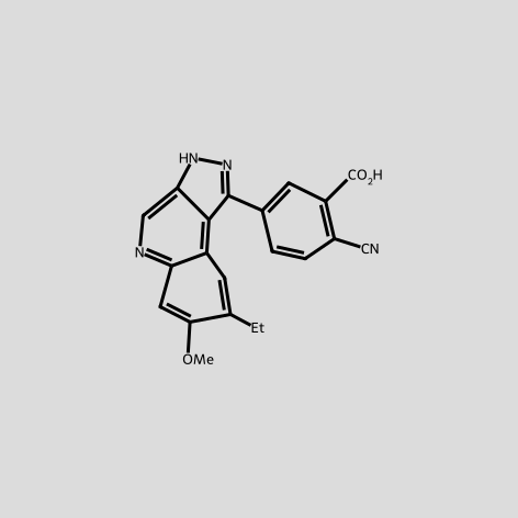 CCc1cc2c(cc1OC)ncc1[nH]nc(-c3ccc(C#N)c(C(=O)O)c3)c12